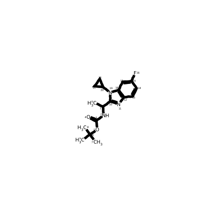 CC(NC(=O)OC(C)(C)C)c1nc2ccc(F)cc2n1C1CC1